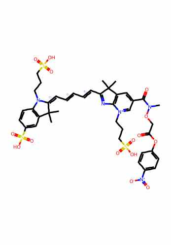 CN(OCC(=O)Oc1ccc([N+](=O)[O-])cc1)C(=O)c1cc2c([n+](CCCS(=O)(=O)O)c1)N=C(/C=C/C=C/C=C1/N(CCCS(=O)(=O)O)c3ccc(S(=O)(=O)O)cc3C1(C)C)C2(C)C